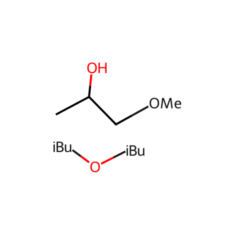 CCC(C)OC(C)CC.COCC(C)O